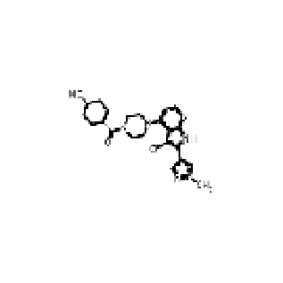 Cn1cc(-c2[nH]c3nccc(N4CCN(C(=O)[C@H]5CC[C@H](C#N)CC5)CC4)c3c2Cl)cn1